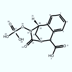 O=C(O)C1c2ccccc2[C@@H]2CN1C(=O)N2OP(=O)(O)O